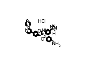 CN1CCN(c2cc(-c3ccc(C[C@@H](C(N)=O)N(c4ccc(-c5nnn[nH]5)cc4)C(=O)[C@H]4CC[C@H](CN)CC4)cc3)ccn2)CC1.Cl